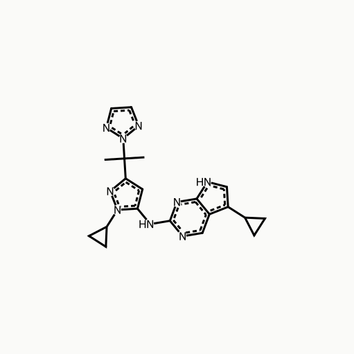 CC(C)(c1cc(Nc2ncc3c(C4CC4)c[nH]c3n2)n(C2CC2)n1)n1nccn1